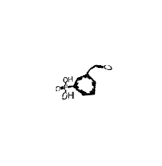 O=Cc1cccc(P(=O)(O)O)c1